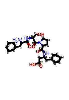 NC(Cc1ccccc1)C(=O)NC(CO)C(=O)N1CCCC1C(=O)NC(CC(=O)O)Cc1ccccc1